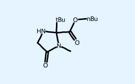 CCCCOC(=O)C1(C(C)(C)C)NCC(=O)N1C